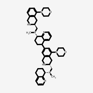 CN(C[C@H]1Cc2c(cc(C3CC[C@H](N(C)C[C@@H]4Cc5c(cccc5N5CCOCC5)CN4)c4ncccc43)cc2N2CCOCC2)CN1)[C@H]1CCCc2cccnc21